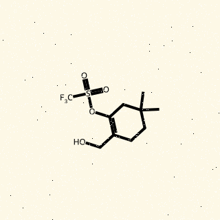 CC1(C)CCC(CO)=C(OS(=O)(=O)C(F)(F)F)C1